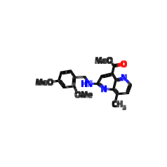 COC(=O)c1cc(NCc2ccc(OC)cc2OC)nc2c(C)ccnc12